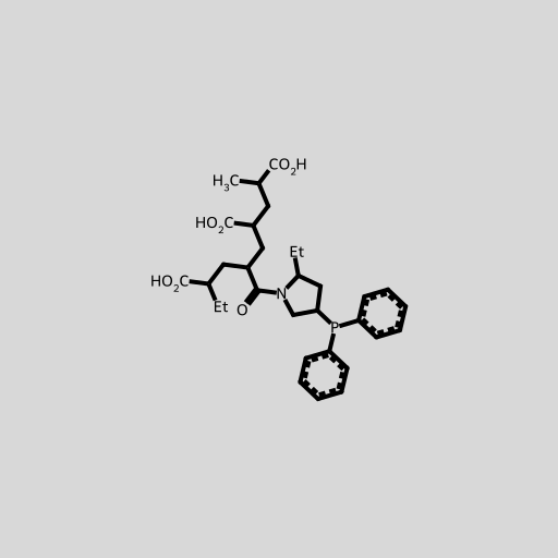 CCC(CC(CC(CC(C)C(=O)O)C(=O)O)C(=O)N1CC(P(c2ccccc2)c2ccccc2)CC1CC)C(=O)O